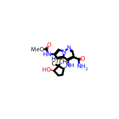 COC(=O)Nc1cc2c(N[C@@H]3CC[C@@H](O)C3(C)C)c(C(N)=O)cnn2c1